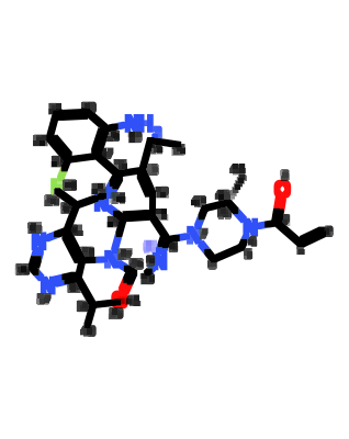 C=CC(=O)N1CCN(/C(=N/C)c2cc(CC)c(-c3c(N)cccc3F)nc2N(C=O)c2c(C(C)C)ncnc2C(C)C)C[C@@H]1C